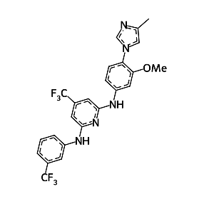 COc1cc(Nc2cc(C(F)(F)F)cc(Nc3cccc(C(F)(F)F)c3)n2)ccc1-n1cnc(C)c1